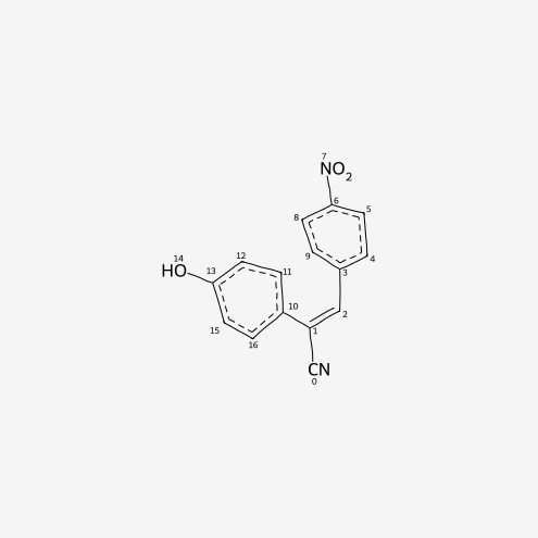 N#CC(=Cc1ccc([N+](=O)[O-])cc1)c1ccc(O)cc1